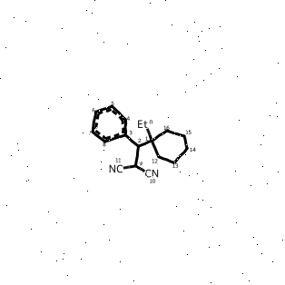 CCC1(C(c2ccccc2)C(C#N)C#N)CCCCC1